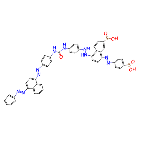 O=C(Nc1ccc(N=Nc2ccc(N=Nc3ccccc3)c3ccccc23)cc1)Nc1ccc(NNc2ccc(N=Nc3ccc(S(=O)O)cc3)c3cc(S(=O)O)ccc23)cc1